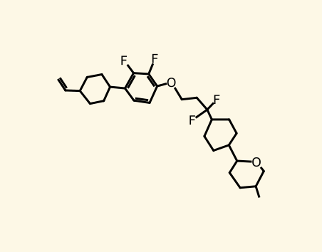 C=CC1CCC(c2ccc(OCCC(F)(F)C3CCC(C4CCC(C)CO4)CC3)c(F)c2F)CC1